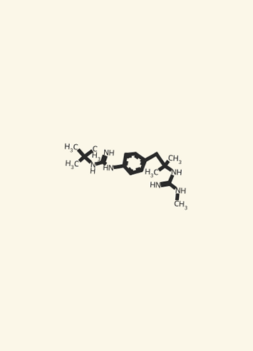 CNC(=N)NC(C)(C)Cc1ccc(NC(=N)NC(C)(C)C)cc1